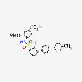 COc1cc(C(=O)O)ccc1NS(=O)(=O)c1cccc(-c2ccc([C@H]3CC[C@H](C)CC3)cc2)c1F